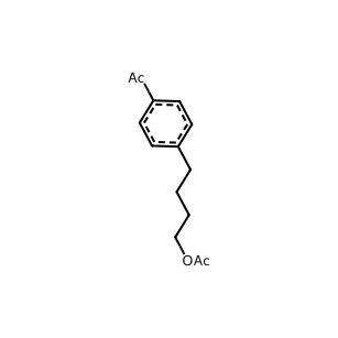 CC(=O)OCCCCc1ccc(C(C)=O)cc1